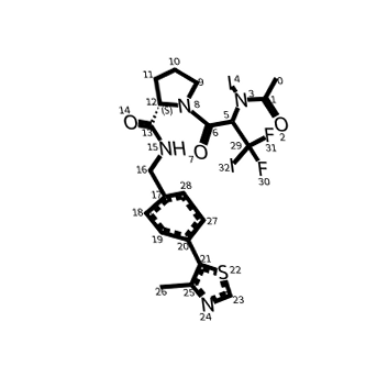 CC(=O)N(I)C(C(=O)N1CCC[C@H]1C(=O)NCc1ccc(-c2scnc2C)cc1)C(F)(F)I